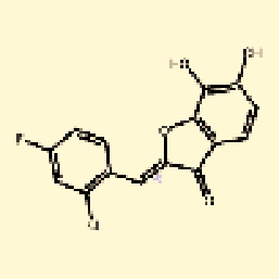 O=C1/C(=C/c2ccc(F)cc2Cl)Oc2c1ccc(O)c2O